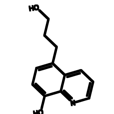 OCCCc1ccc(O)c2ncccc12